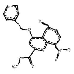 COC(=O)c1cc(OCc2ccccc2)c2c(Br)ccc([N+](=O)[O-])c2n1